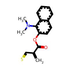 C=C(C=S)C(=O)Oc1ccc2ccccc2c1N(C)C